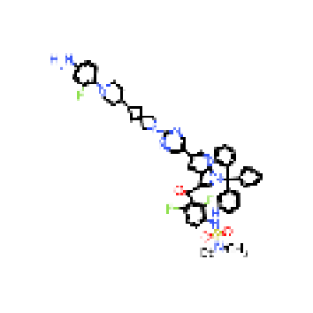 CCN(C)S(=O)(=O)Nc1ccc(F)c(C(=O)c2cn(C(c3ccccc3)(c3ccccc3)c3ccccc3)c3ncc(-c4cnc(N5CC6(CC(C7CCN(c8ccc(N)cc8F)CC7)C6)C5)nc4)cc23)c1F